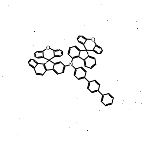 c1ccc(-c2ccc(-c3ccc(N(c4ccc5c(c4)C4(c6ccccc6Oc6ccccc64)c4c-5ccc5ccccc45)c4cccc5c4-c4ccccc4C54c5ccccc5Oc5ccccc54)cc3)cc2)cc1